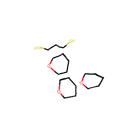 C1CCOCC1.C1CCOCC1.C1CCOCC1.SCCCS